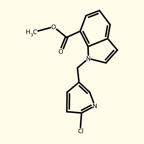 COC(=O)c1cccc2ccn(Cc3ccc(Cl)nc3)c12